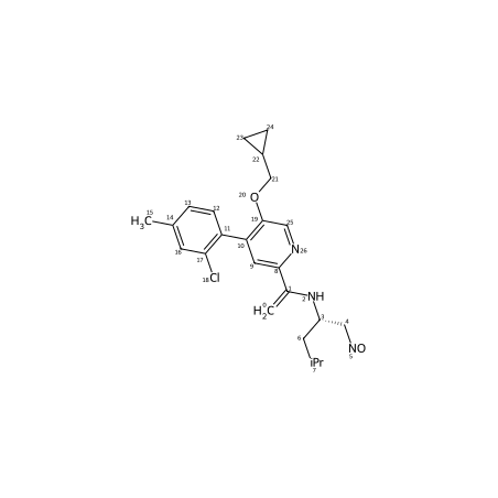 C=C(N[C@H](CN=O)CC(C)C)c1cc(-c2ccc(C)cc2Cl)c(OCC2CC2)cn1